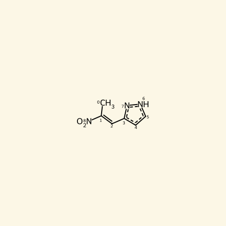 CC(=Cc1cc[nH]n1)[N+](=O)[O-]